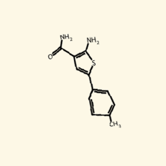 Cc1ccc(-c2cc(C(N)=O)c(N)s2)cc1